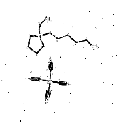 CCCCCC[N+]1(CC)CCCC1.N#C[B-](C#N)(C#N)C#N